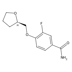 NC(=O)c1ccc(OC[C@H]2CCCO2)c(F)c1